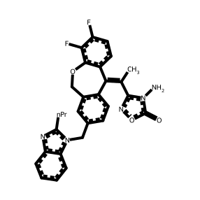 CCCc1nc2ccccc2n1Cc1ccc2c(c1)COc1c(ccc(F)c1F)/C2=C(\C)c1noc(=O)n1N